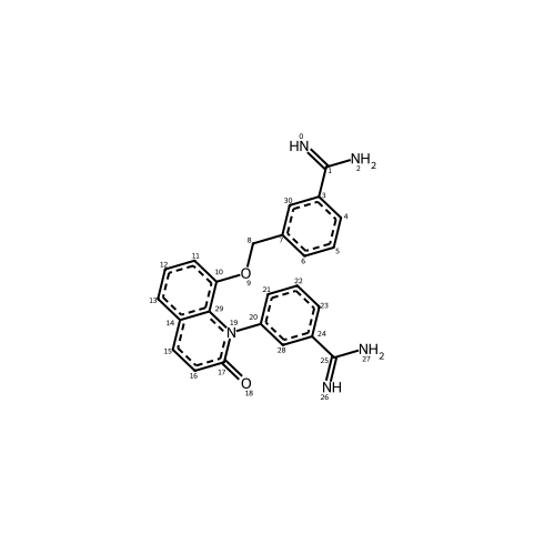 N=C(N)c1cccc(COc2cccc3ccc(=O)n(-c4cccc(C(=N)N)c4)c23)c1